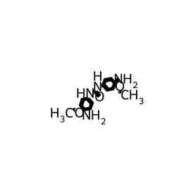 CCOC1(N)C=CC(NC(=O)NC2=CCC(N)(OCC)C=C2)=CC1